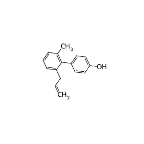 C=CCc1cccc(C)c1-c1ccc(O)cc1